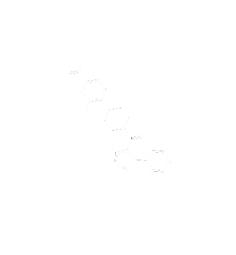 COc1ccccc1-c1noc(C)c1C(=O)N1CCN(c2ccc([N+](=O)[O-])nc2Br)CC1